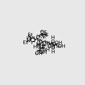 CCn1c[n+](CC)c2ccc(C(=O)NCCCN(C[C@H](O)[C@@H](O)[C@H](O)[C@H](O)CO)C[C@H](O)[C@@H](O)[C@H](O)[C@H](O)CO)cc21.O=C([O-])C(F)(F)F